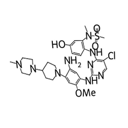 COc1cc(N2CCC(N3CCN(C)CC3)CC2)c(N)cc1Nc1ncc(Cl)c(Nc2ccc(O)cc2N(C)S(C)(=O)=O)n1